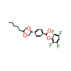 CCCCC[C@H]1CO[C@H](c2ccc(C(=O)Oc3c(F)c(F)cc(F)c3F)cc2)CO1